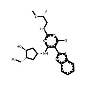 CO[C@H](C)CNc1nc(Cl)c(-c2nc3ccccc3s2)c(N[C@@H]2C[C@H](CO)[C@@H](O)C2)n1